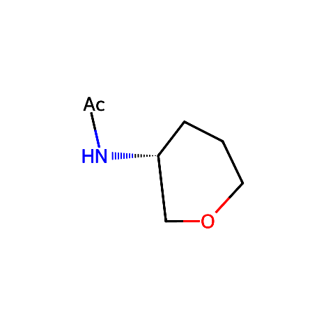 CC(=O)N[C@@H]1CCCOC1